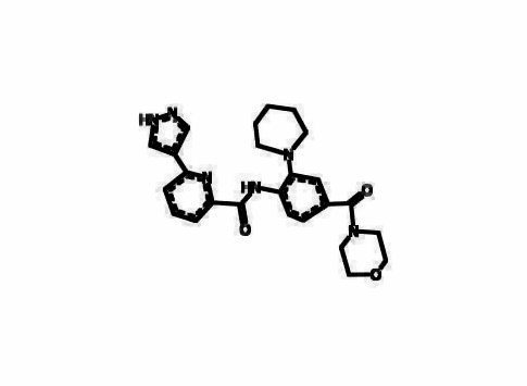 O=C(Nc1ccc(C(=O)N2CCOCC2)cc1N1CCCCC1)c1cccc(-c2cn[nH]c2)n1